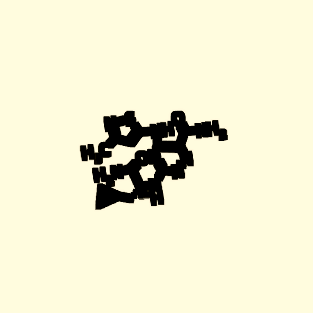 Cc1cc(Nc2nc(N[C@H](CC3CC3)C(N)=O)nnc2C(N)=O)sn1